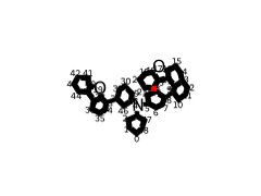 c1ccc(N(c2ccc(-c3cccc4ccc5oc6ccccc6c5c34)cc2)c2cccc(-c3cccc4c3oc3ccccc34)c2)cc1